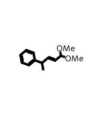 COC(C=CC(C)c1ccccc1)OC